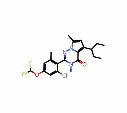 CCC(CC)c1cc(C)n2nc(-c3c(C)cc(OC(F)F)cc3Cl)n(C)c(=O)c12